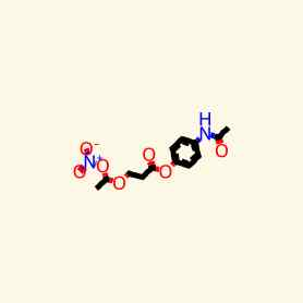 CC(=O)Nc1ccc(OC(=O)CCOC(C)O[N+](=O)[O-])cc1